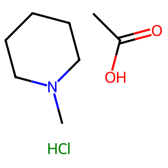 CC(=O)O.CN1CCCCC1.Cl